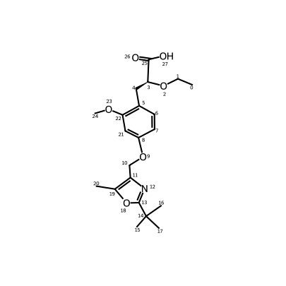 CCO[C@@H](Cc1ccc(OCc2nc(C(C)(C)C)oc2C)cc1OC)C(=O)O